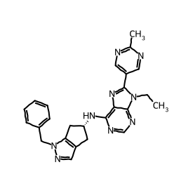 CCn1c(-c2cnc(C)nc2)nc2c(N[C@@H]3Cc4cnn(Cc5ccccc5)c4C3)ncnc21